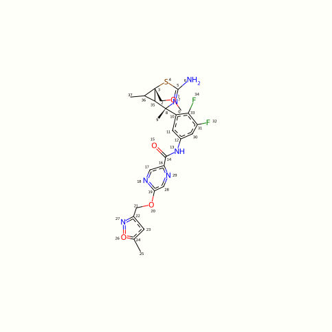 COC[C@@]12SC(N)=N[C@](C)(c3cc(NC(=O)c4cnc(OCc5cc(C)on5)cn4)cc(F)c3F)C1C2C